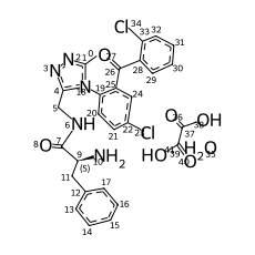 Cc1nnc(CNC(=O)[C@@H](N)Cc2ccccc2)n1-c1ccc(Cl)cc1C(=O)c1ccccc1Cl.O.O=C(O)C(=O)O